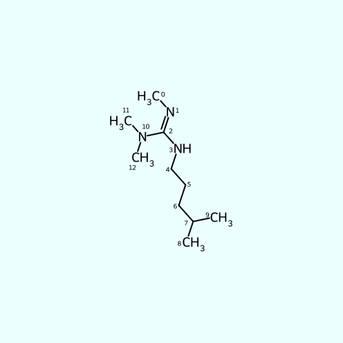 C/N=C(/NCCCC(C)C)N(C)C